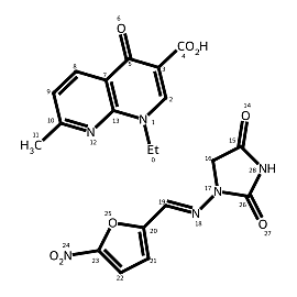 CCn1cc(C(=O)O)c(=O)c2ccc(C)nc21.O=C1CN(/N=C/c2ccc([N+](=O)[O-])o2)C(=O)N1